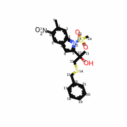 Cc1cc2c(cc1[N+](=O)[O-])cc(C(C)(O)CSCc1ccccc1)n2S(C)(=O)=O